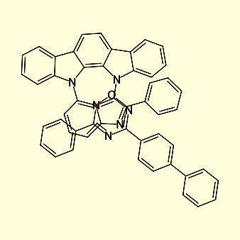 c1ccc(-c2ccc(-c3nc(-c4ccccc4)nc(-n4c5ccccc5c5ccc6c7ccccc7n(-c7cccc8nc(-c9ccccc9)oc78)c6c54)n3)cc2)cc1